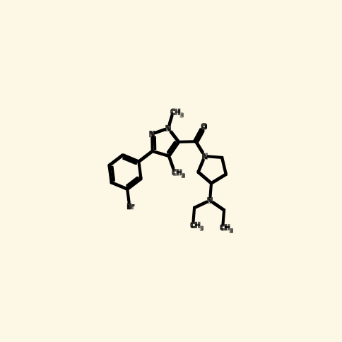 CCN(CC)C1CCN(C(=O)c2c(C)c(-c3cccc(Br)c3)nn2C)C1